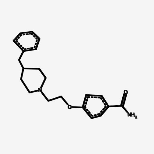 NC(=O)c1ccc(OCCN2CCC(Cc3ccccc3)CC2)cc1